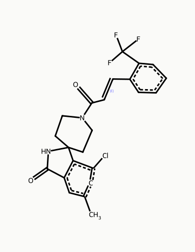 Cc1cc(Cl)c2c(c1)C(=O)NC21CCN(C(=O)/C=C/c2ccccc2C(F)(F)F)CC1